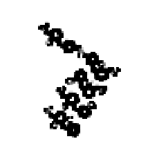 CN(C)CC1CCCC(=Cc2cccc(Cl)c2)C1=O.CN(C)CC1CCCC(=Cc2ccccc2Cl)C1=O.COc1ccc(C=C2CCCC(CN(C)C)C2=O)cc1.COc1cccc(C=C2CCCC(CN(C)C)C2=O)c1.COc1ccccc1C=C1CCCC(CN(C)C)C1=O